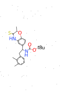 Cc1cccc(CC(NC(=O)OC(C)(C)C)c2ccc3c(c2)NC(=S)C(C)O3)c1C